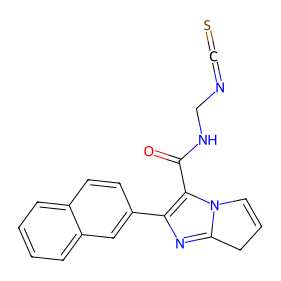 O=C(NCN=C=S)c1c(-c2ccc3ccccc3c2)nc2n1C=CC2